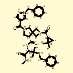 CNC(=O)[C@@H](NC(=O)[C@@H]1CN(C(=O)c2cnn(Cc3ccccc3)c2)CC12CN(C(=O)[C@H]1CC1(C)C)C2)C(C)(C)SCc1ccccc1